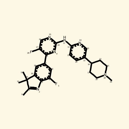 CC1=Nc2c(F)cc(-c3nc(Nc4ccc(C5CCN(C)CC5)cn4)ncc3F)cc2C1(C)C